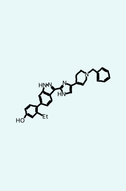 CCc1cc(O)ccc1-c1ccc2c(-c3nc(C4=CCN(Cc5ccccc5)CC4)c[nH]3)n[nH]c2c1